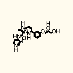 CC1=C(C(=O)NC2=CCNC=C2F)N2NC(c3cccc(OC[C@H](O)CO)c3)C=CC2N1